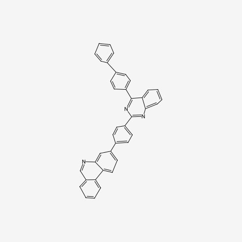 c1ccc(-c2ccc(-c3nc(-c4ccc(-c5ccc6c(c5)ncc5ccccc56)cc4)nc4ccccc34)cc2)cc1